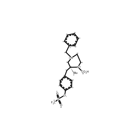 CC(C)(C)[C@]1(Cc2ccc(OS(=O)(=O)C(F)(F)F)cc2)CN(Cc2ccccc2)CCN1C(=O)O